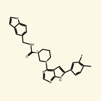 Cc1ccc(-c2cc3c(N4CCC[C@H](C(=O)NCc5ccc6sccc6c5)C4)ncnc3[nH]2)cc1F